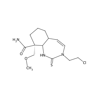 COC[C@]1(C(N)=O)CCCC2C=CN(CCCl)C(=S)NC21